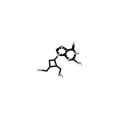 NCC1C(CO)CC1n1cnc2c(=O)[nH]c(N)nc21